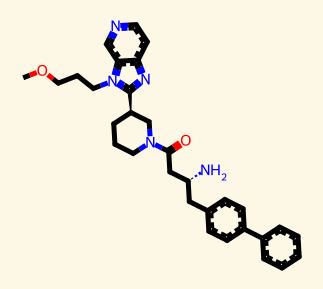 COCCCn1c([C@@H]2CCCN(C(=O)C[C@H](N)Cc3ccc(-c4ccccc4)cc3)C2)nc2ccncc21